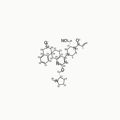 C=CC(=O)N1CCN(c2nc(OC[C@@H]3CCCN3C)nc3c2CCC2(C3)C[S+]([O-])Cc3ccccc32)C[C@@H]1CC#N